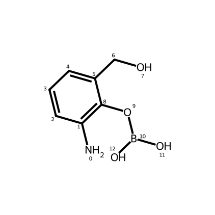 Nc1cccc(CO)c1OB(O)O